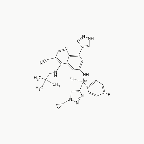 [2H][C@](Nc1cc(-c2cn[nH]c2)c2ncc(C#N)c(NCC(C)(C)C)c2c1)(c1ccc(F)cc1)c1cn(C2CC2)nn1